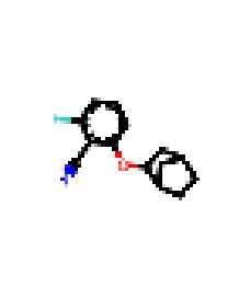 N#Cc1c(F)cccc1OC1CC2CCC1C2